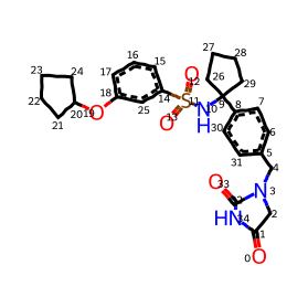 O=C1CN(Cc2ccc(C3(NS(=O)(=O)c4cccc(OC5CCCC5)c4)CCCC3)cc2)C(=O)N1